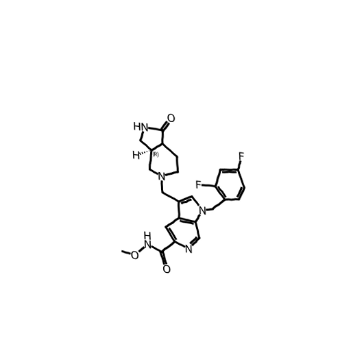 CONC(=O)c1cc2c(CN3CCC4C(=O)NC[C@@H]4C3)cn(Cc3ccc(F)cc3F)c2cn1